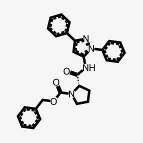 O=C(Nc1cc(-c2ccccc2)nn1-c1ccccc1)[C@@H]1CCCN1C(=O)OCc1ccccc1